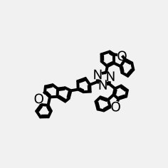 c1ccc2c(c1)oc1cccc(-c3nc(-c4ccc(-c5ccc6c(ccc7oc8ccccc8c76)c5)cc4)nc(-c4cccc5oc6ccccc6c45)n3)c12